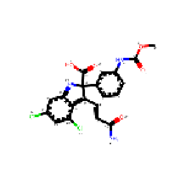 COC(=O)Nc1cccc(C2(C(=O)O)N=c3cc(Cl)cc(Cl)c3=C2C=CC(N)=O)c1